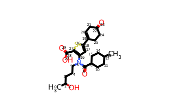 CC(O)CCCN(C(=O)C1CCC(C)CC1)c1cc(C2=CCC(=O)CC2)sc1C(=O)O